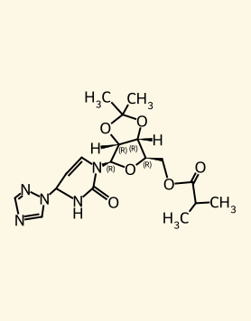 CC(C)C(=O)OC[C@H]1O[C@@H](N2C=CC(n3cncn3)NC2=O)[C@@H]2OC(C)(C)O[C@@H]21